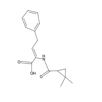 CC1(C)CC1C(=O)NC(=CCc1ccccc1)C(=O)O